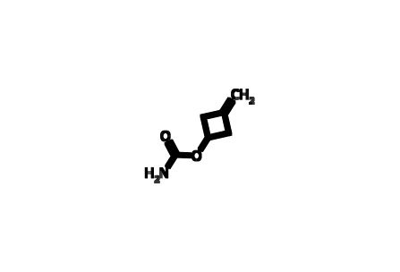 C=C1CC(OC(N)=O)C1